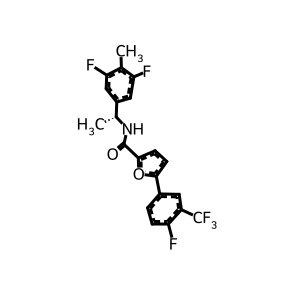 Cc1c(F)cc([C@@H](C)NC(=O)c2ccc(-c3ccc(F)c(C(F)(F)F)c3)o2)cc1F